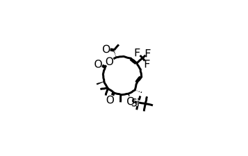 CC(=O)[C@@H]1C/C=C(/C(F)(F)F)C/C=C/[C@H](C)[C@H](O[Si](C)(C)C(C)(C)C)C(C)C(=O)C(C)(C)[C@@H](C)CC(=O)O1